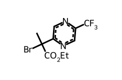 CCOC(=O)C(C)(Br)c1cnc(C(F)(F)F)cn1